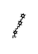 COC(=O)c1ccc(OCCCc2ccc(OCc3ccccc3)cc2)cc1